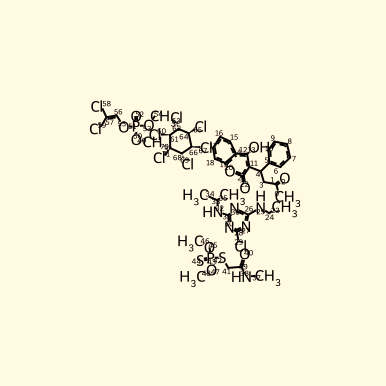 CC(=O)CC(c1ccccc1)c1c(O)c2ccccc2oc1=O.CCNc1nc(Cl)nc(NC(C)C)n1.CNC(=O)CSP(=S)(OC)OC.COP(=O)(OC)OC=C(Cl)Cl.Cl[C@H]1[C@H](Cl)[C@@H](Cl)[C@@H](Cl)[C@H](Cl)[C@H]1Cl